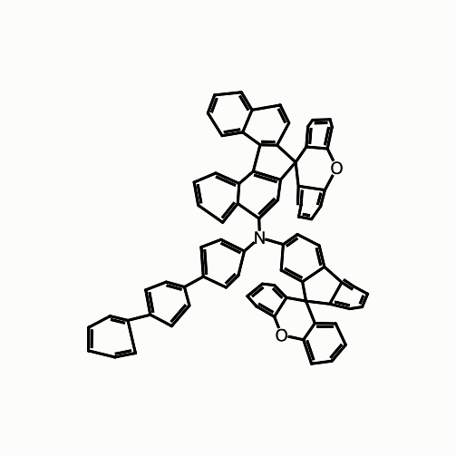 c1ccc(-c2ccc(-c3ccc(N(c4ccc5c(c4)C4(c6ccccc6Oc6ccccc64)c4ccccc4-5)c4cc5c(c6ccccc46)-c4c(ccc6ccccc46)C54c5ccccc5Oc5ccccc54)cc3)cc2)cc1